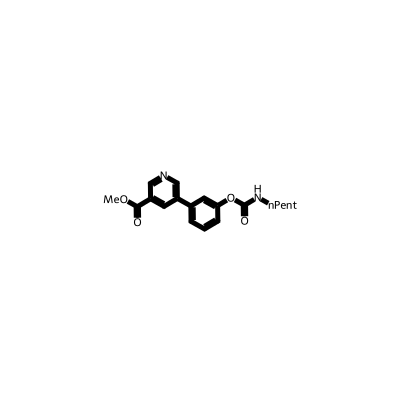 CCCCCNC(=O)Oc1cccc(-c2cncc(C(=O)OC)c2)c1